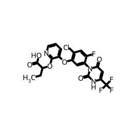 CCC(Oc1ncccc1Oc1cc(-n2c(=O)cc(C(F)(F)F)[nH]c2=O)c(F)cc1Cl)C(=O)O